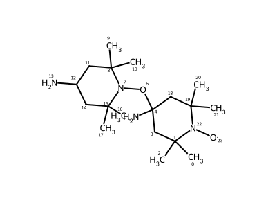 CC1(C)CC(N)(ON2C(C)(C)CC(N)CC2(C)C)CC(C)(C)N1[O]